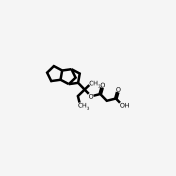 CCC(C)(OC(=O)CC(=O)O)C1CC2CC1C1CCCC21